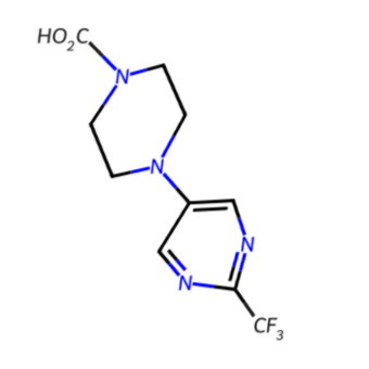 O=C(O)N1CCN(c2cnc(C(F)(F)F)nc2)CC1